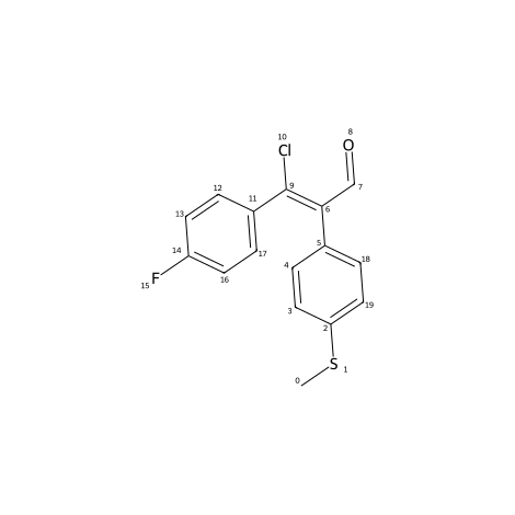 CSc1ccc(/C(C=O)=C(/Cl)c2ccc(F)cc2)cc1